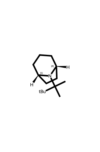 CC(C)(C)C(C)(C)N1[C@@H]2CCC[C@H]1CC2